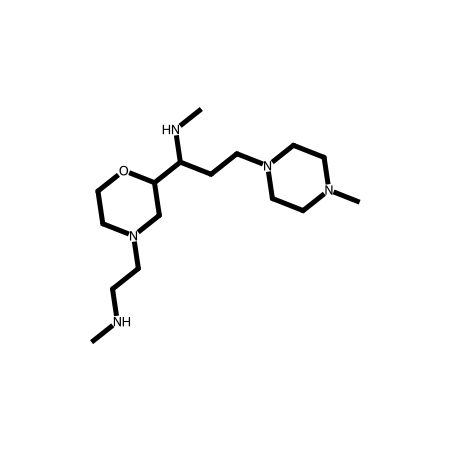 CNCCN1CCOC(C(CCN2CCN(C)CC2)NC)C1